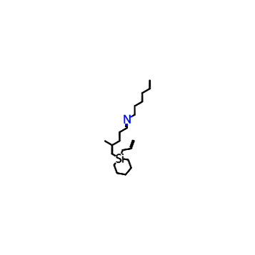 C=CC[Si]1(CC(C)CCC=NCCCCCC)CCCCC1